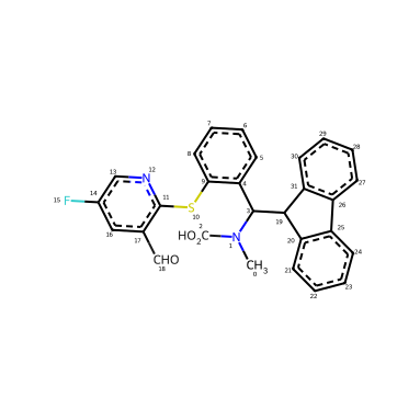 CN(C(=O)O)C(c1ccccc1Sc1ncc(F)cc1C=O)C1c2ccccc2-c2ccccc21